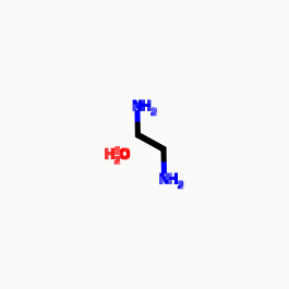 NCCN.[6OH2]